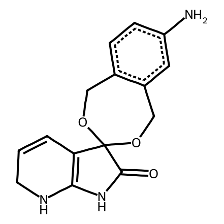 Nc1ccc2c(c1)COC1(OC2)C(=O)NC2=C1C=CCN2